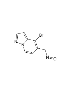 O=NCc1ccn2nccc2c1Br